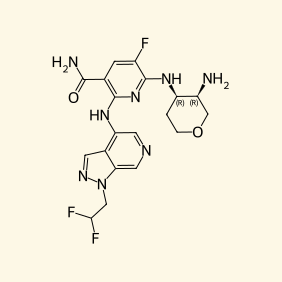 NC(=O)c1cc(F)c(N[C@@H]2CCOC[C@@H]2N)nc1Nc1cncc2c1cnn2CC(F)F